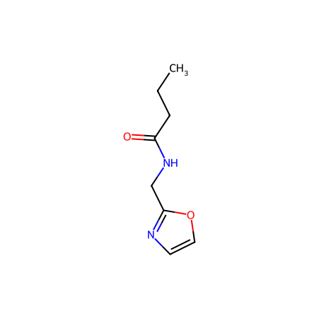 CCCC(=O)NCc1ncco1